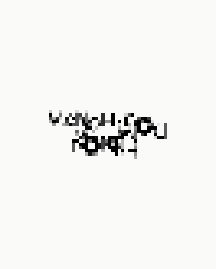 CNC(=O)Oc1cc(-n2cc(C(=O)Nc3cc(Cl)ccc3C)nn2)ccc1F